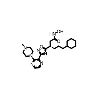 CN1CCN(c2nccnc2-c2noc([C@H](CCCC3CCCCC3)CC(=O)NO)n2)CC1